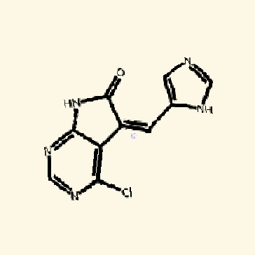 O=C1Nc2ncnc(Cl)c2/C1=C/c1cnc[nH]1